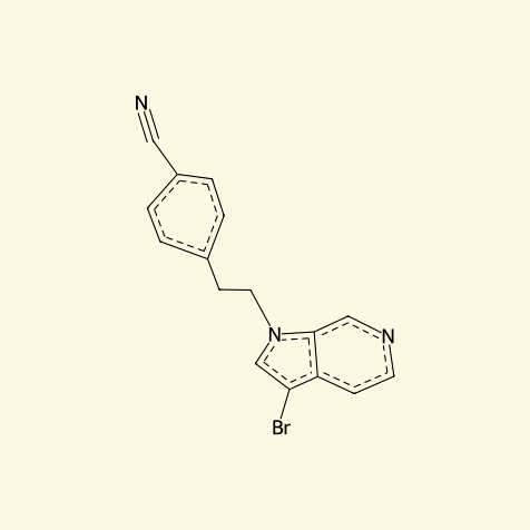 N#Cc1ccc(CCn2cc(Br)c3ccncc32)cc1